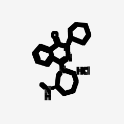 CN[C@H]1CCCCN(c2nn(C3CCCCC3)c(=O)c3ccccc23)C1.Cl